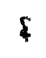 COc1ccc(-n2cnc(-c3ccc(O)c(N4CC(=O)NS4(=O)=O)c3F)c2)cc1